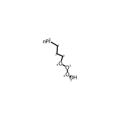 CCCCCCOOOO